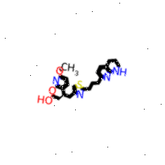 COc1ccc([C@H](CC(=O)O)Cc2csc(CCCc3ccc4c(n3)NCCC4)n2)cn1